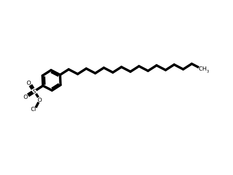 CCCCCCCCCCCCCCCCc1ccc(S(=O)(=O)OCl)cc1